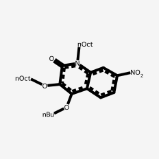 CCCCCCCCOc1c(OCCCC)c2ccc([N+](=O)[O-])cc2n(CCCCCCCC)c1=O